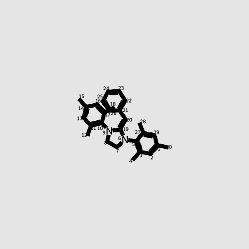 Cc1cc(C)c(N2CCN(c3c(C)cc(C)cc3C)C2=Cc2ccccc2)c(C)c1